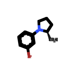 O=C(O)[C@H]1CCCN1c1cccc(Br)c1